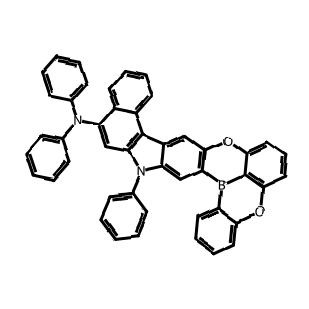 c1ccc(N(c2ccccc2)c2cc3c(c4ccccc24)c2cc4c(cc2n3-c2ccccc2)B2c3ccccc3Oc3cccc(c32)O4)cc1